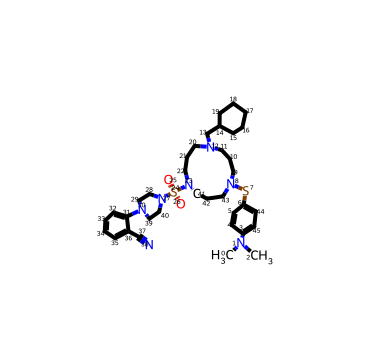 CN(C)c1ccc(SN2CCCN(CC3CCCCC3)CCCN(S(=O)(=O)N3CCN(c4ccccc4C#N)CC3)CCC2)cc1